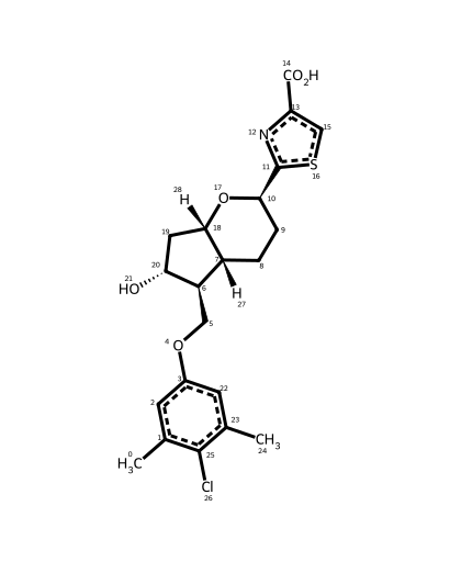 Cc1cc(OC[C@@H]2[C@H]3CC[C@H](c4nc(C(=O)O)cs4)O[C@H]3C[C@H]2O)cc(C)c1Cl